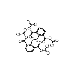 O=C(Cl)OC(=O)c1cccc(C(=O)OC(=O)Cl)c1SSc1c(C(=O)OC(=O)Cl)cccc1C(=O)OC(=O)Cl